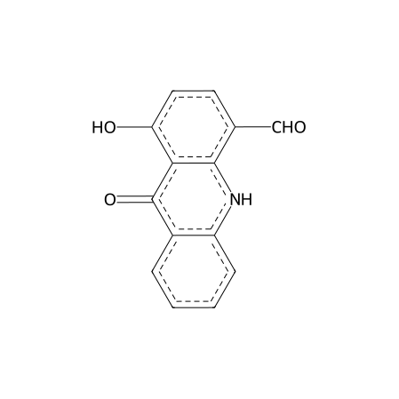 O=Cc1ccc(O)c2c(=O)c3ccccc3[nH]c12